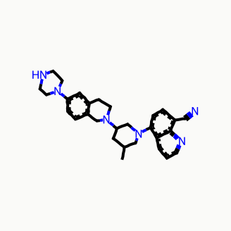 CC1CC(N2CCc3cc(N4CCNCC4)ccc3C2)CN(c2ccc(C#N)c3ncccc23)C1